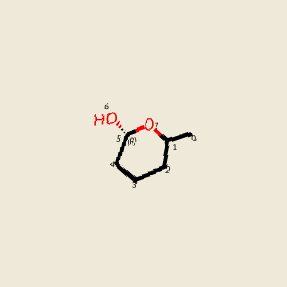 CC1CCC[C@H](O)O1